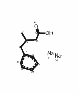 CC(CC(=O)O)Cc1ccccc1.[Na].[Na]